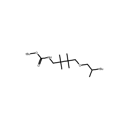 CC(COCC(C)(C)C(C)(C)CNC(=O)OC(C)(C)C)C(C)(C)C